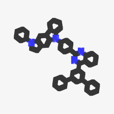 c1ccc(-c2cc(-c3ccccc3)cc(-c3nc(-c4ccc(-n5c6ccccc6c6cc7c(ccn7-c7ccccc7)cc65)cc4)nc4ccccc34)c2)cc1